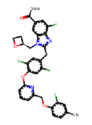 COC(=O)c1cc(F)c2nc(Cc3cc(F)c(Oc4cccc(COc5ccc(C#N)cc5F)n4)cc3F)n(C[C@@H]3CCO3)c2c1